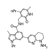 CCCc1cc(C)[nH]c(=O)c1CNC(=O)c1cc(-c2cnc3c(c2)CCCN3N)cc2c1c(C)cn2C(C)C